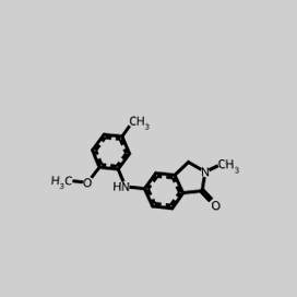 COc1ccc(C)cc1Nc1ccc2c(c1)CN(C)C2=O